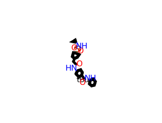 CC(C)(C)c1cc(NC(=O)Cc2ccc(S(=O)(=O)NC3CC3)cc2)ccc1C(=O)Nc1ccccc1